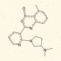 Cc1cccc2nc(-c3cccnc3N3CCC(N(C)C)C3)oc(=O)c12